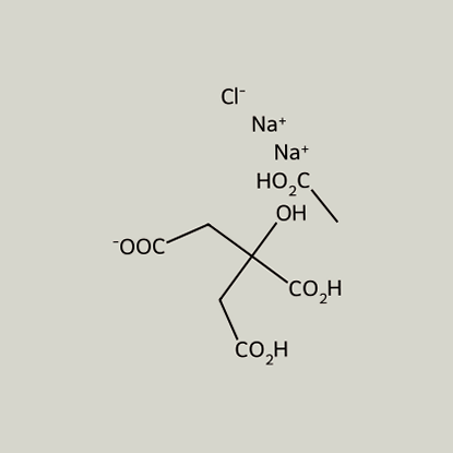 CC(=O)O.O=C([O-])CC(O)(CC(=O)O)C(=O)O.[Cl-].[Na+].[Na+]